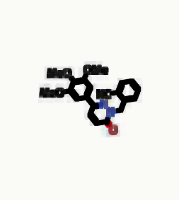 COc1cc(-c2ccc(=O)n(Cc3ccccc3C#N)n2)cc(OC)c1OC